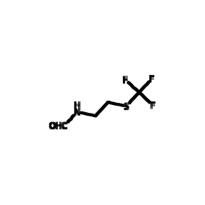 O=CNCCSC(F)(F)F